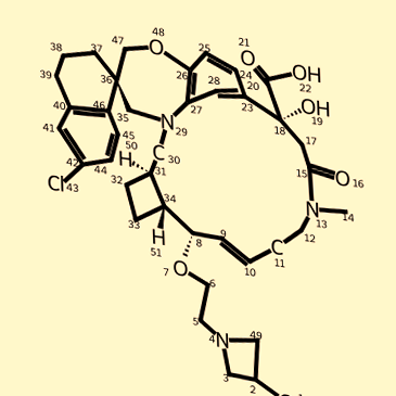 COC1CN(CCO[C@H]2/C=C/CCN(C)C(=O)C[C@](O)(C(=O)O)c3ccc4c(c3)N(C[C@@H]3CC[C@H]32)C[C@@]2(CCCc3cc(Cl)ccc32)CO4)C1